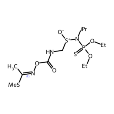 CCOP(=S)(OCC)N(C(C)C)[S+]([O-])CNC(=O)O/N=C(\C)SC